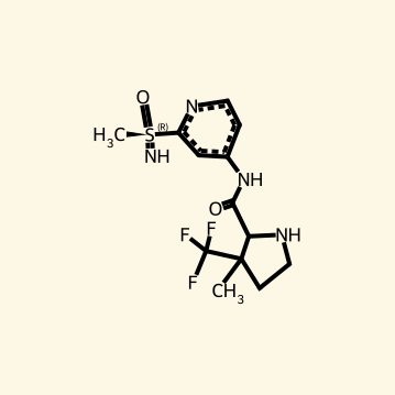 CC1(C(F)(F)F)CCNC1C(=O)Nc1ccnc([S@](C)(=N)=O)c1